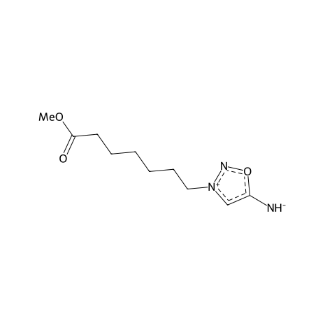 COC(=O)CCCCCC[n+]1cc([NH-])on1